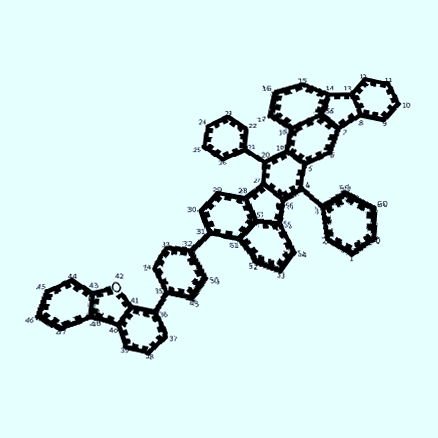 c1ccc(-c2c3cc4c5ccccc5c5cccc(c3c(-c3ccccc3)c3c6ccc(-c7ccc(-c8cccc9c8oc8ccccc89)cc7)c7cccc(c23)c76)c54)cc1